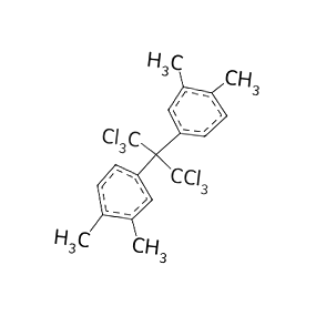 Cc1ccc(C(c2ccc(C)c(C)c2)(C(Cl)(Cl)Cl)C(Cl)(Cl)Cl)cc1C